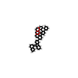 c1ccc(-c2ccccc2-c2c(-c3ccccc3)ccc3c2N(c2ccccc2)c2cccc4c(-c5ccc6c(c5)c5ccccc5n6-c5cccc6ccccc56)ccc-3c24)cc1